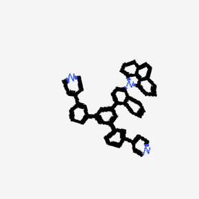 c1cc(-c2ccncc2)cc(-c2cc(-c3cccc(-c4ccncc4)c3)cc(-c3ccc(-n4c5cccc6ccc7cccc4c7c65)c4ccccc34)c2)c1